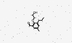 CCCc1cc(C)cc(C=O)c1OCCO